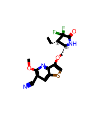 CC[C@H]1[C@@H](COc2csc3cc(C#N)c(OC)nc23)NC(=O)C1(F)F